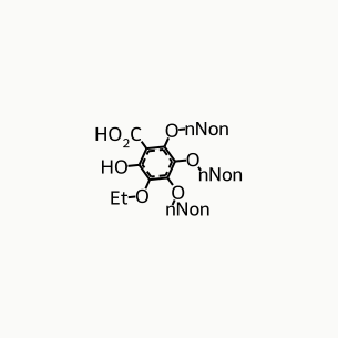 CCCCCCCCCOc1c(OCC)c(O)c(C(=O)O)c(OCCCCCCCCC)c1OCCCCCCCCC